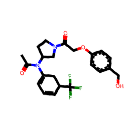 CC(=O)N(C1=CC=CC(C(F)(F)F)C1)C1CCN(C(=O)COc2ccc(CO)cc2)C1